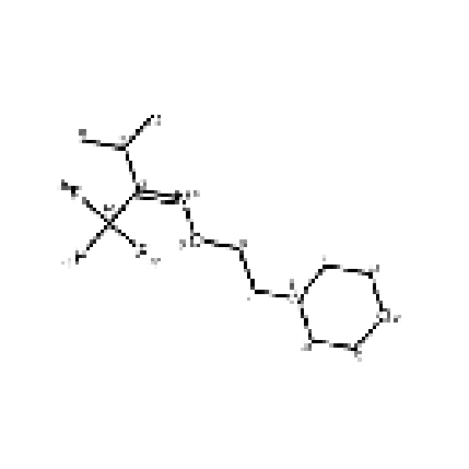 CC(C)/C(=N/OCCN1CCOCC1)C(F)(F)F